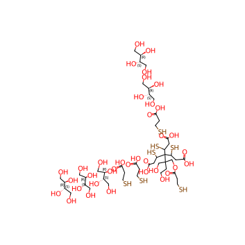 O=C(O)CC(S)C(C(S)CC(=O)O)(C(S)CC(=O)O)C(CO)(CCO)COC(=O)CCS.O=C(O)CCS.O=C(O)CCS.O=C(O)CCS.OC[C@@H](O)[C@@H](O)CO.OC[C@@H](O)[C@@H](O)CO.OC[C@@H](O)[C@@H](O)CO.OC[C@@H](O)[C@@H](O)CO.OC[C@@H](O)[C@@H](O)CO